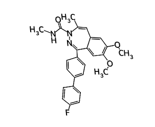 CNC(=O)N1N=C(c2ccc(-c3ccc(F)cc3)cc2)c2cc(OC)c(OC)cc2C=C1C